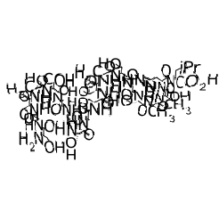 CC(C)C[C@H](NC(=O)[C@H](Cc1c[nH]cn1)NC(=O)[C@@H](NC(=O)[C@H](C)NC(=O)[C@H](CO)NC(=O)CNC(=O)[C@H](CO)NC(=O)[C@H](C)NC(=O)[C@H](CO)NC(=O)[C@H](CO)NC(=O)CNC(=O)[C@H](CO)NC(=O)CNC(=O)CNC(=O)[C@@H](NC(=O)[C@H](C)NC(=O)[C@H](CO)NC(=O)CNC(=O)[C@@H](N)CO)[C@@H](C)O)[C@@H](C)O)C(=O)O